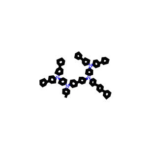 Cc1ccc(N(c2ccc(-c3ccc(N(c4ccc(-c5ccc(-c6ccccc6)cc5)cc4)c4ccc(N(c5ccc(-c6ccccc6)cc5)c5ccc(-c6ccccc6)cc5)cc4)cc3)cc2)c2ccc(N(c3ccc(-c4ccccc4)cc3)c3ccc(-c4ccccc4)cc3)cc2)cc1